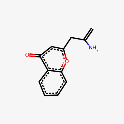 C=C(N)Cc1cc(=O)c2ccccc2o1